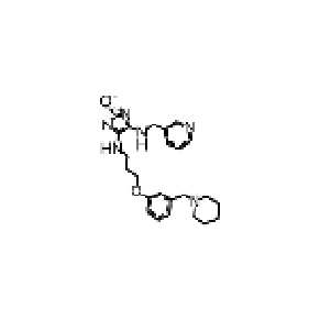 [O-][s+]1nc(NCCCOc2cccc(CN3CCCCC3)c2)c(NCc2cccnc2)n1